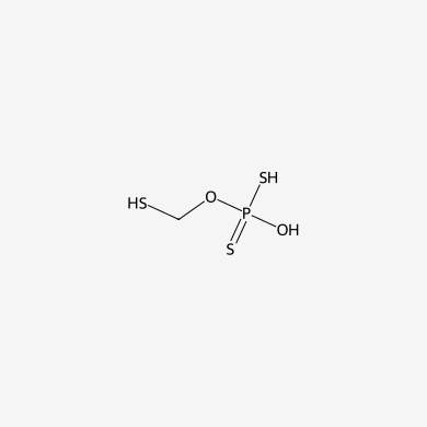 OP(=S)(S)OCS